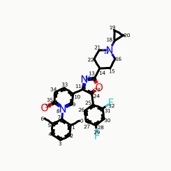 Cc1cccc(C)c1-n1cc(-c2nc(C3CCN(C4CC4)CC3)oc2-c2ccc(F)cc2F)ccc1=O